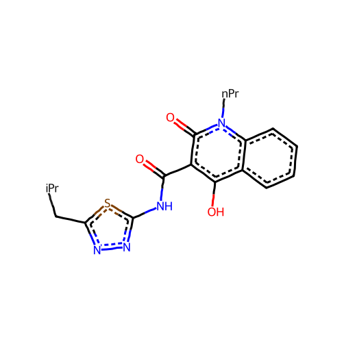 CCCn1c(=O)c(C(=O)Nc2nnc(CC(C)C)s2)c(O)c2ccccc21